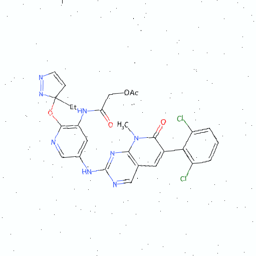 CCC1(Oc2ncc(Nc3ncc4cc(-c5c(Cl)cccc5Cl)c(=O)n(C)c4n3)cc2NC(=O)COC(C)=O)C=CN=N1